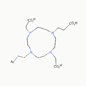 CC(=O)CCN1CCN(CC(=O)O)CCN(CCC(=O)O)CCN(CC(=O)O)CC1